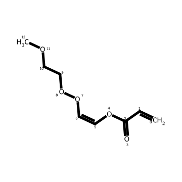 C=CC(=O)O/C=C\OOCCOC